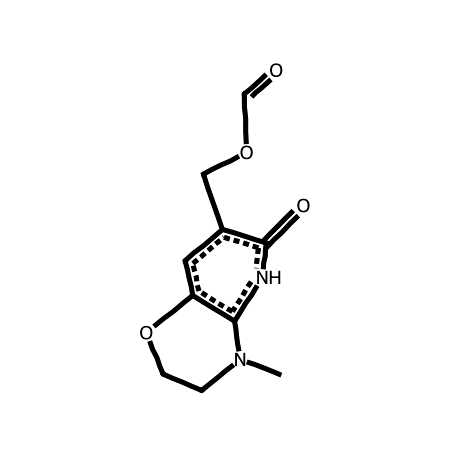 CN1CCOc2cc(COC=O)c(=O)[nH]c21